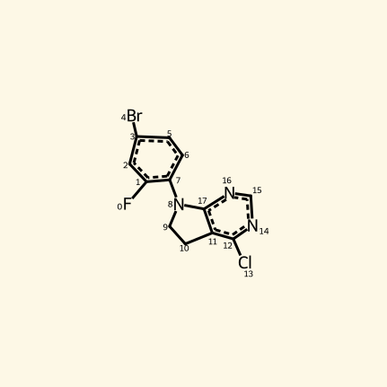 Fc1cc(Br)ccc1N1CCc2c(Cl)ncnc21